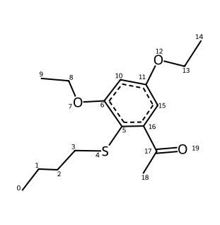 CCCCSc1c(OCC)cc(OCC)cc1C(C)=O